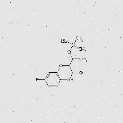 CC(O[Si](C)(C)C(C)(C)C)C1Oc2cc(F)ccc2NC1=O